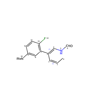 C/C=C\C(=C/NC=O)c1cc(NC)ccc1F